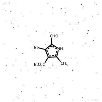 CCOC(=O)c1c(C)[nH]c(C=O)c1CC